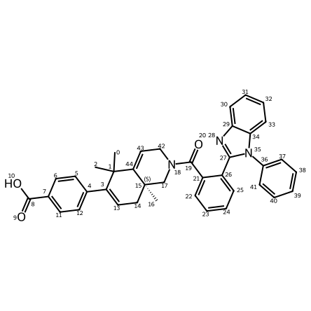 CC1(C)C(c2ccc(C(=O)O)cc2)=CC[C@]2(C)CN(C(=O)c3ccccc3-c3nc4ccccc4n3-c3ccccc3)CC=C12